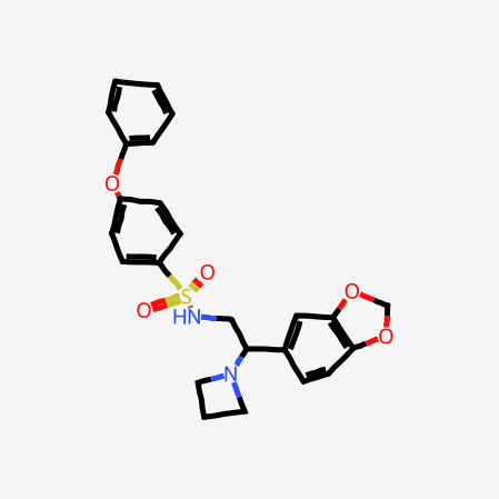 O=S(=O)(NCC(c1ccc2c(c1)OCO2)N1CCC1)c1ccc(Oc2ccccc2)cc1